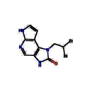 CCC(CC)Cn1c(=O)[nH]c2cnc3[nH]ccc3c21